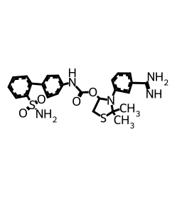 CC1(C)SCC(OC(=O)Nc2ccc(-c3ccccc3S(N)(=O)=O)cc2)N1c1cccc(C(=N)N)c1